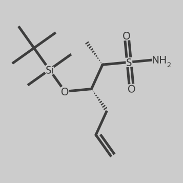 C=CC[C@H](O[Si](C)(C)C(C)(C)C)[C@H](C)S(N)(=O)=O